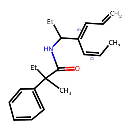 C=C/C=C(\C=C/C)C(CC)NC(=O)C(C)(CC)c1ccccc1